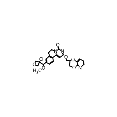 COC(c1ccc2c(c1)CCn1c-2cc(OCC2COc3ncccc3O2)nc1=O)C1(C)COC1